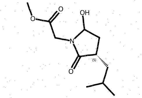 COC(=O)CN1C(=O)[C@@H](CC(C)C)CC1O